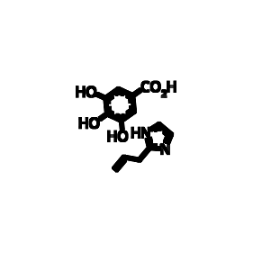 C=CCc1ncc[nH]1.O=C(O)c1cc(O)c(O)c(O)c1